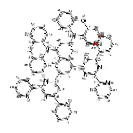 c1ccc(-c2nc(-c3cc(-c4nc(-c5ccccn5)nc(-c5ccccn5)n4)c4cc(N5c6ccccc6Oc6ccccc65)cc(N5c6ccccc6Oc6ccccc65)c4c3)nc(-c3ccccn3)n2)nc1